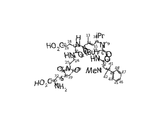 CN[C@H](C(=O)NC(C(=O)N(C)[C@H](/C=C(\C)C(=O)N[C@H](CCC(=O)O)C(=O)NCCN1C(=O)CC(SC[C@H](N)C(=O)O)C1=O)C(C)C)C(C)(C)C)C(C)(C)c1ccccc1